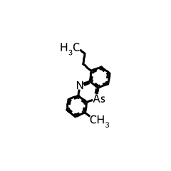 CCCc1cccc2c1=Nc1cccc(C)c1[As]=2